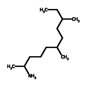 CCC(C)CCC(C)CCCC(C)N